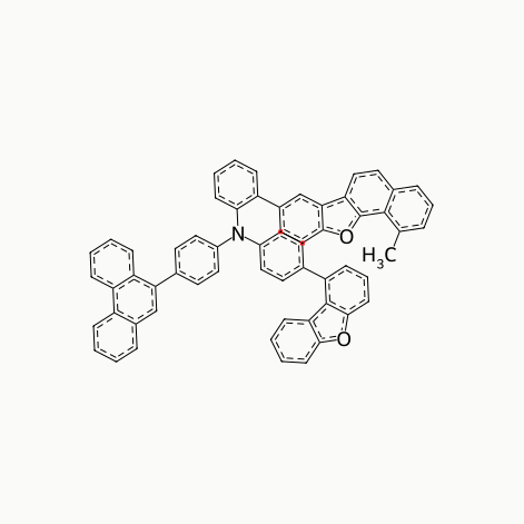 Cc1cccc2ccc3c4cc(-c5ccccc5N(c5ccc(-c6cc7ccccc7c7ccccc67)cc5)c5ccc(-c6cccc7oc8ccccc8c67)cc5)ccc4oc3c12